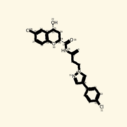 C=C(CCn1cc(-c2ccc(Cl)cc2)cn1)NC(=O)[C@H]1C[C@@H](O)c2cc(Cl)ccc2O1